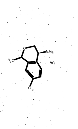 CN[C@@H]1COC(C)c2cc(C(F)(F)F)ccc21.Cl